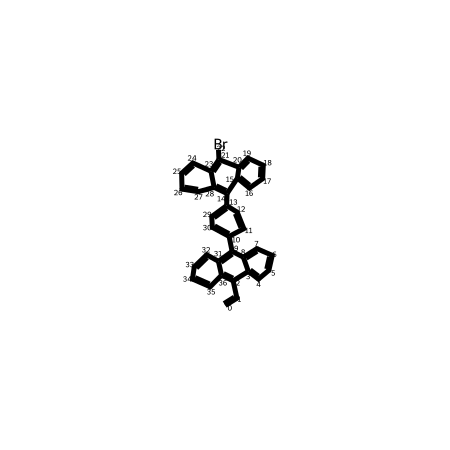 C=Cc1c2ccccc2c(-c2ccc(-c3c4ccccc4c(Br)c4ccccc34)cc2)c2ccccc12